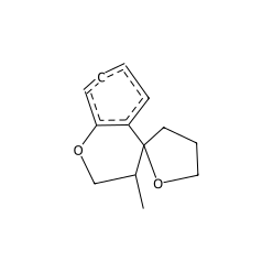 CC1COc2ccccc2C12CCCO2